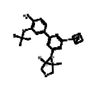 Nc1ncc(-c2cc([C@H]3[C@@H]4COC[C@@H]43)nc(N3CC4CC3C4)n2)cc1OC(F)(F)F